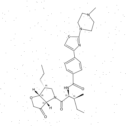 CCC[C@@H]1CN(C(=O)[C@@H](NC(=O)c2ccc(-c3csc(N4CCN(C)CC4)n3)cc2)[C@@H](C)CC)[C@@H]2C(=O)CO[C@H]12